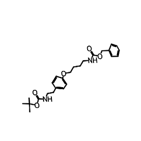 CC(C)(C)OC(=O)NCCc1ccc(OCCCCNC(=O)OCc2ccccc2)cc1